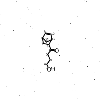 O=C(CCCO)C1CC2C=CC1C2